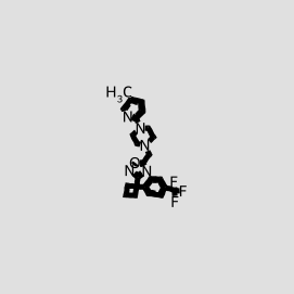 Cc1ccc(N2CCN(Cc3nc(C4(c5ccc(C(F)(F)F)cc5)CCC4)no3)CC2)nc1